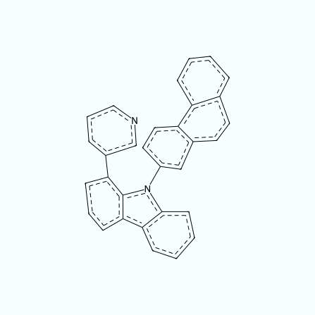 c1cncc(-c2cccc3c4ccccc4n(-c4ccc5c(ccc6ccccc65)c4)c23)c1